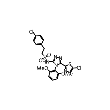 COc1cccc(OC)c1-n1c(NS(=O)(=O)CCc2ccc(Cl)cc2)nnc1-c1ncc(Cl)s1